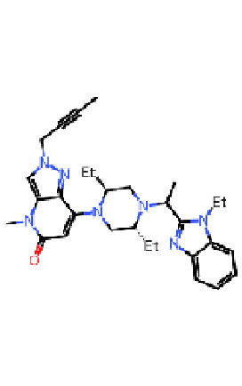 CC#CCn1cc2c(n1)c(N1C[C@@H](CC)N(C(C)c3nc4ccccc4n3CC)C[C@@H]1CC)cc(=O)n2C